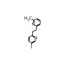 Cc1cccc(CCc2ccc(I)cn2)n1